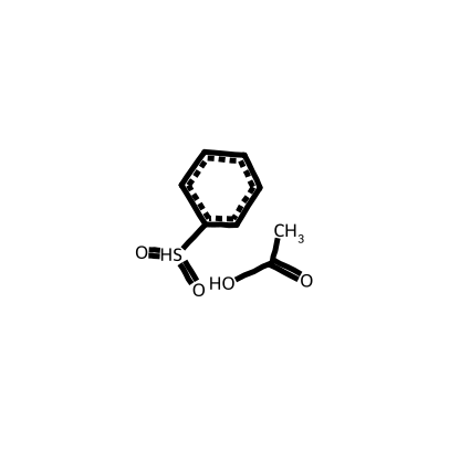 CC(=O)O.O=[SH](=O)c1ccccc1